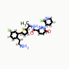 C[C@@H](NC(=O)c1ccc(=O)n(-c2cccnc2F)n1)c1ccc(-c2cc(F)ccc2CCN)s1